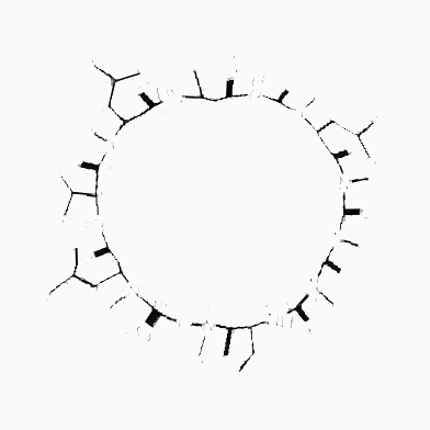 C=C1C(CC)NC(=O)N(C)C(=O)N(C)C(=O)N(C)C(=O)C(CC(C)C)N(C)C(=O)NC(=O)C(C)NC(=O)C(CC(C)C)N(C)C(=O)C(C(C)C)NC(=O)C(CC(C)C)N(C)C(=O)CN1C